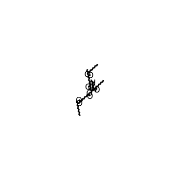 CCCCCCCCC(CC)OC(=O)CCCCCCC(=O)OCC(COC(=O)CCCCCCC(=O)OC(CC)CCCCCCCC)CN(CCCN(C)C)C(=O)CCCCCCC